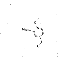 COc1ccc(C[O])cc1C#N